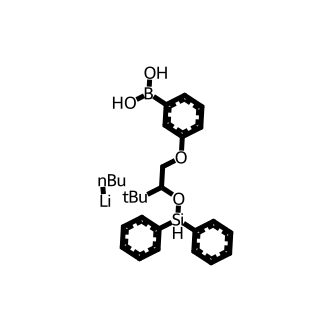 CC(C)(C)C(COc1cccc(B(O)O)c1)O[SiH](c1ccccc1)c1ccccc1.[Li][CH2]CCC